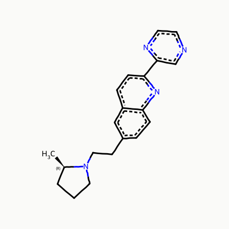 C[C@@H]1CCCN1CCc1ccc2nc(-c3cnccn3)ccc2c1